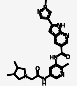 Cc1ncc(NC(=O)CN2CC(C)C(C)C2)cc1NC(=O)c1cnc2[nH]c(-c3cnn(C)c3)cc2c1